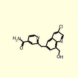 NC(=O)c1ccnc(Cc2cc(CO)c3ncc(Cl)cc3c2)c1